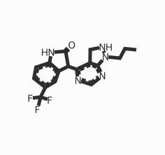 CCCN1NCc2c(C3C(=O)Nc4ccc(C(F)(F)F)cc43)ncnc21